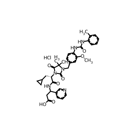 COc1cc(CN2C(=O)N([C@@H](CC3CC3)C(=O)NC(CC(=O)O)c3cccnc3)C(=O)C2(C)C)ccc1NC(=O)Nc1ccccc1C.Cl